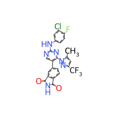 Cc1cc(C(F)(F)F)nn1-c1nc(Nc2ccc(F)c(Cl)c2)ncc1-c1ccc2c(c1)C(=O)NC2=O